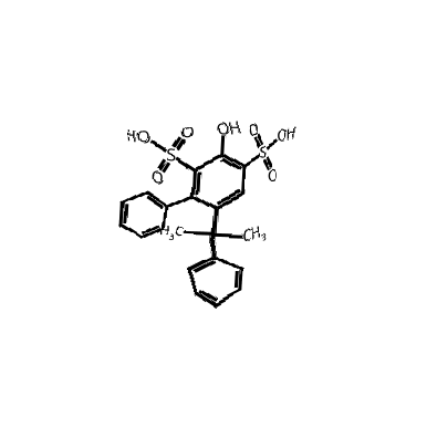 CC(C)(c1ccccc1)c1cc(S(=O)(=O)O)c(O)c(S(=O)(=O)O)c1-c1ccccc1